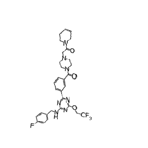 O=C(CN1CCN(C(=O)c2cccc(-c3nc(NCc4ccc(F)cc4)nc(OCC(F)(F)F)n3)c2)CC1)N1CCCCC1